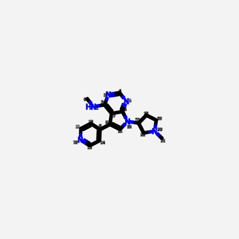 CNc1ncnc2c1c(-c1ccncc1)cn2C1CCN(C)C1